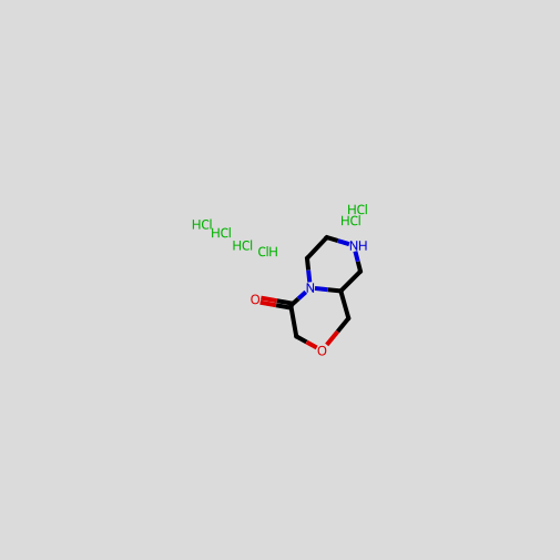 Cl.Cl.Cl.Cl.Cl.Cl.O=C1COCC2CNCCN12